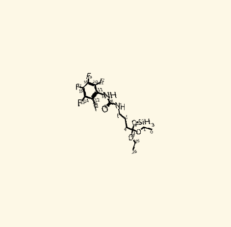 CCOC(CCCNC(=O)Nc1c(F)c(F)c(F)c(F)c1F)(O[SiH3])OCC